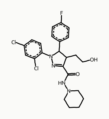 O=C(NN1CCCCC1)C1=NN(c2ccc(Cl)cc2Cl)C(c2ccc(F)cc2)C1CCO